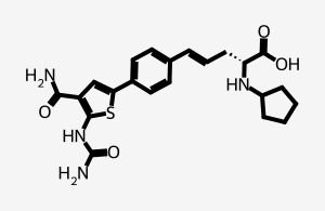 NC(=O)Nc1sc(-c2ccc(C=CC[C@@H](NC3CCCC3)C(=O)O)cc2)cc1C(N)=O